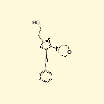 OCCc1cc(C#Cc2ccccc2)c(N2CCOCC2)s1